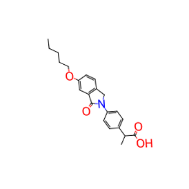 CCCCCOc1ccc2c(c1)C(=O)N(c1ccc(C(C)C(=O)O)cc1)C2